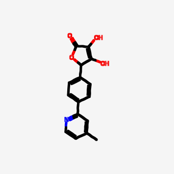 Cc1ccnc(-c2ccc(C3OC(=O)C(O)=C3O)cc2)c1